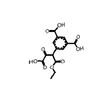 CCOC(=O)C(C(=O)C(=O)O)c1cc(C(=O)O)cc(C(=O)O)c1